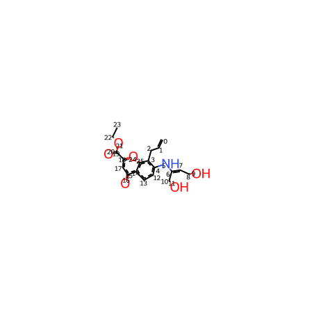 C=CCc1c(NC(=CCO)CO)ccc2c(=O)cc(C(=O)OCC)oc12